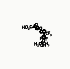 CC(C)(O)COc1c(F)cc(-c2c(C(F)(F)F)ccc3c2CC[C@H]3Oc2ccc3c(c2)OCC3CC(=O)O)cc1F